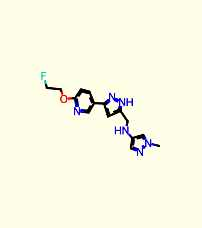 Cn1cc(NCc2cc(-c3ccc(OCCF)nc3)n[nH]2)cn1